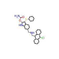 NC(=O)Oc1[nH]c2cc(CNCc3c4ccccc4c(Cl)c4ccccc34)ccc2c1Sc1ccccc1